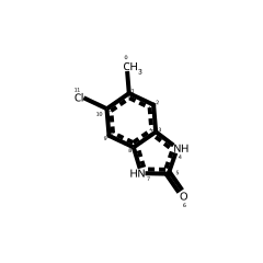 Cc1cc2[nH]c(=O)[nH]c2cc1Cl